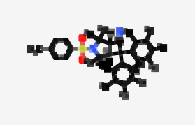 [2H]c1c([2H])c([2H])c(C(C#N)(c2c([2H])c([2H])c([2H])c([2H])c2[2H])[C@@]2([2H])C([2H])([2H])N(S(=O)(=O)c3ccc(C)cc3)C([2H])([2H])C2([2H])[2H])c([2H])c1[2H]